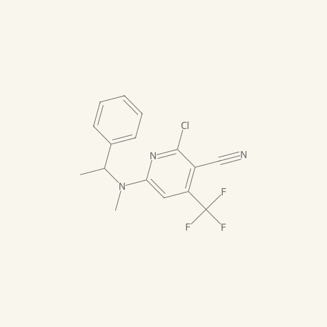 CC(c1ccccc1)N(C)c1cc(C(F)(F)F)c(C#N)c(Cl)n1